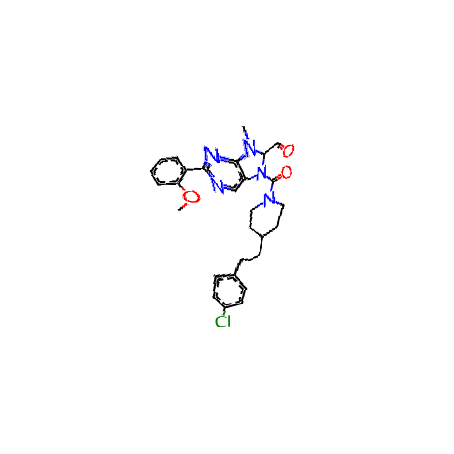 COc1ccccc1-c1ncc2c(n1)N(C)C(C=O)N2C(=O)N1CCC(CCc2ccc(Cl)cc2)CC1